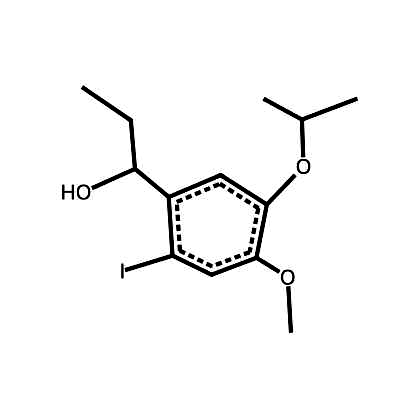 CCC(O)c1cc(OC(C)C)c(OC)cc1I